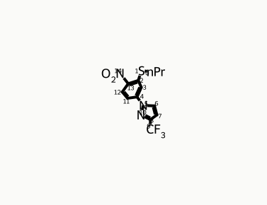 CCCSc1cc(-n2ccc(C(F)(F)F)n2)ccc1[N+](=O)[O-]